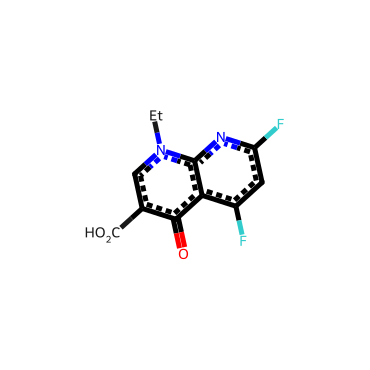 CCn1cc(C(=O)O)c(=O)c2c(F)cc(F)nc21